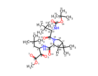 COC(=O)C(=O)C(CC(C)(C)C)NC(=O)[C@@H]1[C@@H]2C(CN1C(=O)[C@@H](NC(=O)OC(C)(C)C)C(C)(C)C)C2(C)C